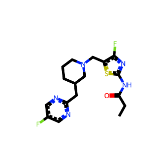 CCC(=O)Nc1nc(F)c(CN2CCCC(Cc3ncc(F)cn3)C2)s1